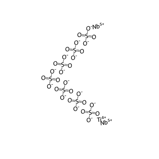 O=S(=O)([O-])[O-].O=S(=O)([O-])[O-].O=S(=O)([O-])[O-].O=S(=O)([O-])[O-].O=S(=O)([O-])[O-].O=S(=O)([O-])[O-].O=S(=O)([O-])[O-].[Nb+5].[Nb+5].[Ti+4]